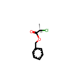 C[C@H](Cl)C(=O)OCc1ccccc1